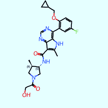 Cc1[nH]c2c(-c3cc(F)ccc3OCC3CC3)ncnc2c1C(=O)N[C@@H]1CN(C(=O)CO)C[C@H]1C